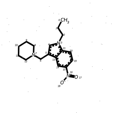 CCCn1cc(CN2CCCCC2)c2cc([N+](=O)[O-])ccc21